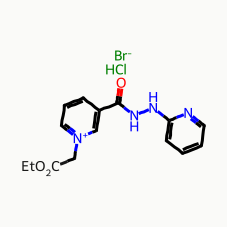 CCOC(=O)C[n+]1cccc(C(=O)NNc2ccccn2)c1.Cl.[Br-]